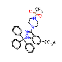 O=C(O)c1ccc2c(c1)c(N1CCN(S(=O)(=O)C(F)(F)F)CC1)nn2C(c1ccccc1)(c1ccccc1)c1ccccc1